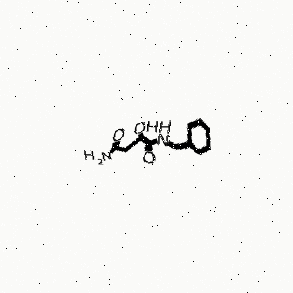 NC(=O)CC(O)C(=O)NCC1CCCCC1